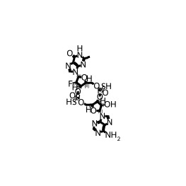 Cc1nc2c(ncn2[C@@H]2O[C@@H]3CO[P@@](=O)(S)O[C@H]4[C@@H](O)[C@H](n5cnc6c(N)ncnc65)O[C@@H]4CO[P@](=O)(S)O[C@H]3[C@H]2F)c(=O)[nH]1